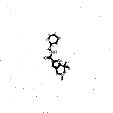 CN1Cc2cc(C(=O)NOC3CCCCO3)sc2C(C)(C)C1